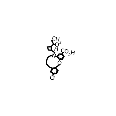 C=CC(O)C1CCC1CN1CCCCCc2cc(Cl)ccc2COc2ccc(C(=O)O)cc21